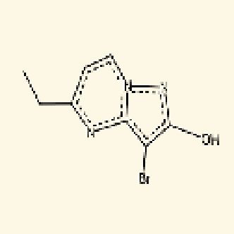 CCc1ccn2nc(O)c(Br)c2n1